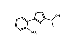 CC(O)c1csc(-c2ccccc2[N+](=O)[O-])n1